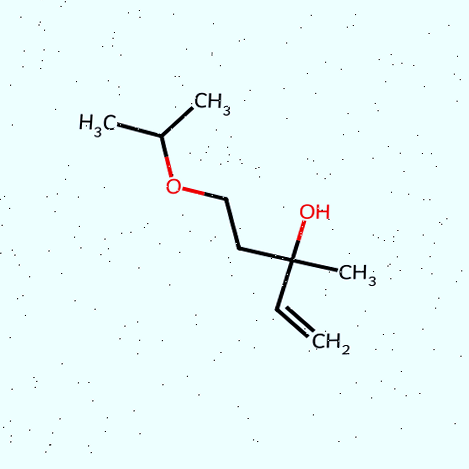 C=CC(C)(O)CCOC(C)C